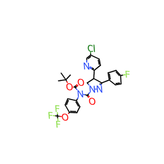 CC(C)(C)OC(=O)N(C(=O)N1CC(c2ccc(Cl)cn2)C(c2ccc(F)cc2)=N1)c1ccc(OC(F)(F)F)cc1